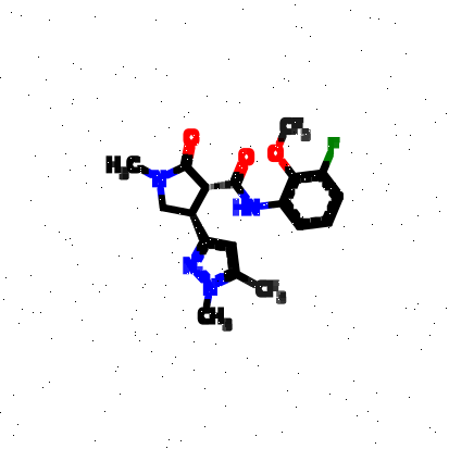 CN1C[C@H](c2cc(C(F)(F)F)n(C)n2)[C@@H](C(=O)Nc2cccc(F)c2OC(F)(F)F)C1=O